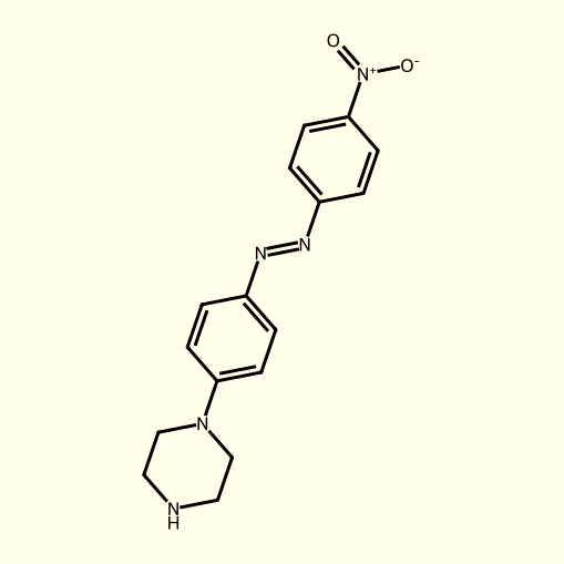 O=[N+]([O-])c1ccc(N=Nc2ccc(N3CCNCC3)cc2)cc1